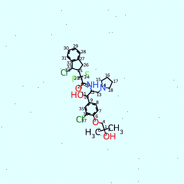 CC(C)(O)COc1ccc(C(O)C(CN2CCCC2)NC(=O)C(F)(F)C2Cc3ccccc3C2Cl)cc1Cl